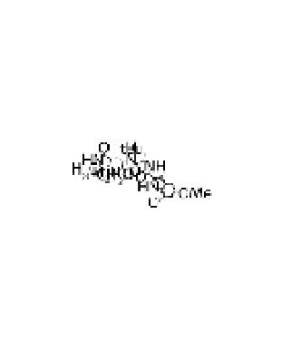 COc1cc(Cl)c2[nH]c(C(=O)N[C@@H](CC(C)(C)C)C(=O)N[C@@H](C[C@@H]3CC(C)(C)NC3=O)C(N)=O)cc2c1